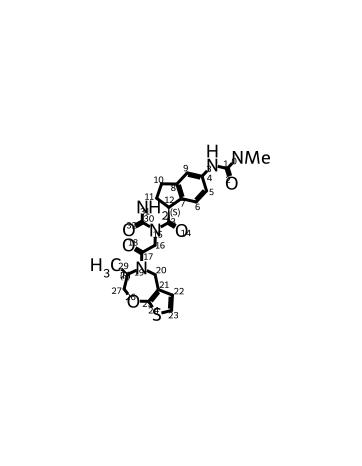 CNC(=O)Nc1ccc2c(c1)CC[C@@H]2C(=O)N(CC(=O)N1Cc2ccsc2OC[C@H]1C)C(N)=O